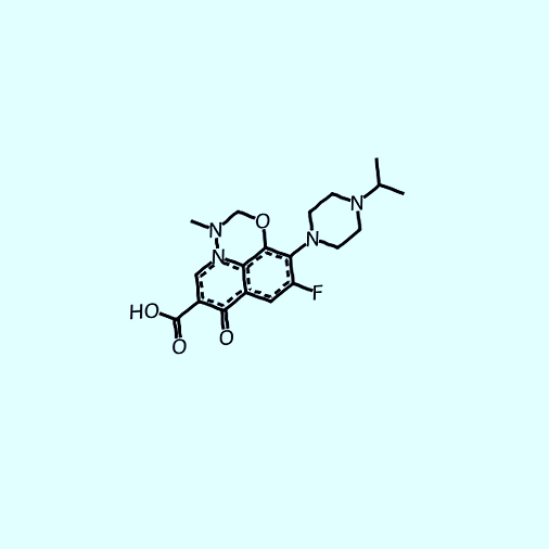 CC(C)N1CCN(c2c(F)cc3c(=O)c(C(=O)O)cn4c3c2OCN4C)CC1